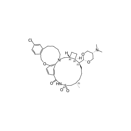 C[C@H]1CCC[C@H]([C@H]2OC[C@@H](N(C)C)CO2)[C@@H]2CC[C@H]2CN2CCCCc3cc(Cl)ccc3COc3ccc(cc32)C(=O)NS(=O)(=O)C1